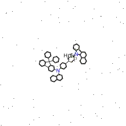 C=C(/C=C\C(=C/C)c1ccc(N(c2ccc3c(c2)C(c2ccccc2)(c2ccccc2)c2ccccc2-3)c2cccc3ccccc23)cc1)n1c2ccccc2c2ccc3ccccc3c21